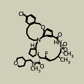 C[C@@H]1[C@@H](C)C/C=C(\F)[C@H](C(=O)N(C)CC2CCOCC2)N2CCC[C@H]2CN2CCCCc3cc(Cl)ccc3COc3ccc(cc32)C(=O)NS1(=O)=O